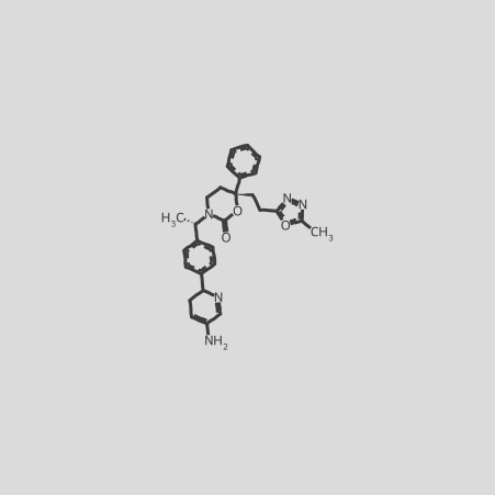 Cc1nnc(CC[C@]2(c3ccccc3)CCN([C@@H](C)c3ccc(C4CC=C(N)C=N4)cc3)C(=O)O2)o1